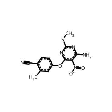 CSc1nc(N)c([N+](=O)[O-])c(Oc2ccc(C#N)c(C)c2)n1